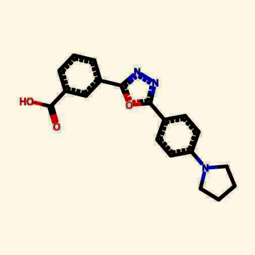 O=C(O)c1cccc(-c2nnc(-c3ccc(N4CCCC4)cc3)o2)c1